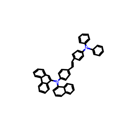 C(=C\c1ccc(N(c2cccc3ccccc23)c2cc3ccccc3c3ccccc23)cc1)/c1ccc(N(c2ccccc2)c2ccccc2)cc1